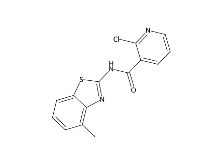 Cc1cccc2sc(NC(=O)c3cccnc3Cl)nc12